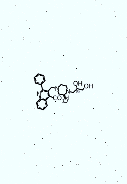 O=C(O)c1c(CN2CCN(C[C@@H](O)CO)C(=O)C2)c(-c2ccccc2)nc2ccccc12